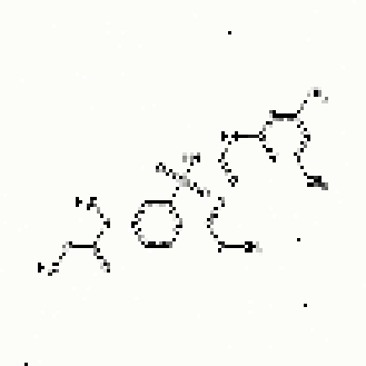 COC(=O)c1ccc(N(C)C(=O)OC)cc1S(=O)(=O)NC(=O)Nc1nc(C)cc(C)n1